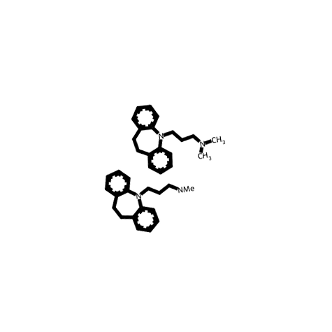 CN(C)CCCN1c2ccccc2CCc2ccccc21.CNCCCN1c2ccccc2CCc2ccccc21